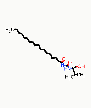 CCCCCCCCC=CCCCCCCCC(=O)NC(=O)N[C@H](CO)C(C)C